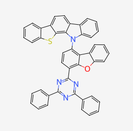 c1ccc(-c2nc(-c3ccccc3)nc(-c3ccc(-n4c5ccccc5c5ccc6c7ccccc7sc6c54)c4c3oc3ccccc34)n2)cc1